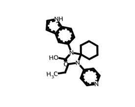 CCCN(c1ccncc1)C1(N(C(=O)O)c2ccc3[nH]ccc3c2)CCCCC1